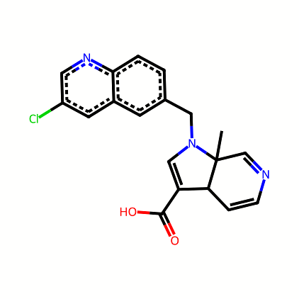 CC12C=NC=CC1C(C(=O)O)=CN2Cc1ccc2ncc(Cl)cc2c1